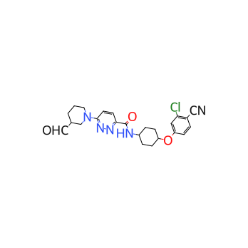 N#Cc1ccc(OC2CCC(NC(=O)c3ccc(N4CCCC(C=O)C4)nn3)CC2)cc1Cl